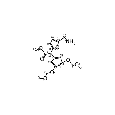 COCOc1cc(OCOC)cc(C(C(=O)OC)c2ccc(CN)o2)c1